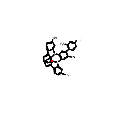 CC(C)(C)c1ccc2c3ccccc3n(-c3cc(C#N)c(-c4ccc(C(F)(F)F)cc4C(F)(F)F)cc3-n3c4ccccc4c4ccc(C(C)(C)C)cc43)c2c1